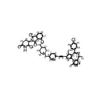 Cc1c(C#Cc2ccc(CN3CCC(COc4cccc5c4C(=O)N(C4CCC(=O)NC4=O)C5=O)CC3)cn2)sc2c1C(c1ccc(Cl)cc1)=N[C@@H](C)c1nnc(C)n1-2